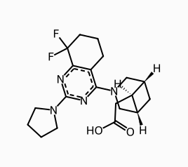 O=C(O)C[C@@H]1[C@@H]2C[C@H]1CN(c1nc(N3CCCC3)nc3c1CCCC3(F)F)C2